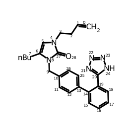 C=CCCn1cc(CCCC)n(Cc2ccc(-c3ccccc3-c3nnn[nH]3)cc2)c1=O